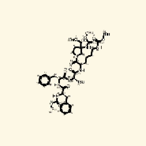 COC(=O)C1(NC(=O)OC(C)(C)C)CCN(C(=O)[C@@H](CCCCNC(=O)OC(C)(C)C)NC(=O)[C@H](NC(=O)[C@@H](Cc2ccccc2)NC(=O)[C@@H](Cc2ccccc2)NC(=O)OC(C)(C)C)C(C)(C)C)C1